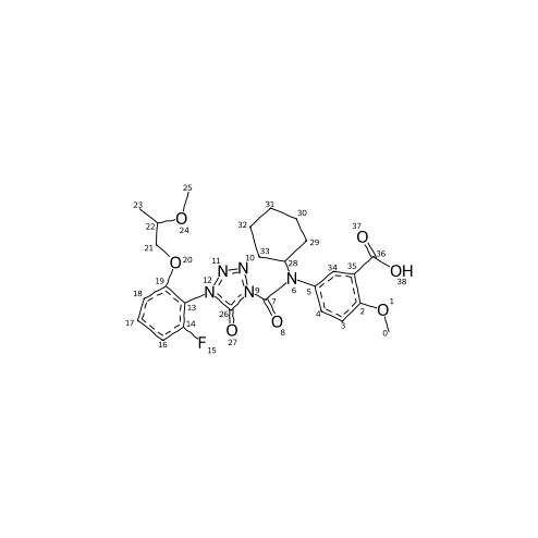 COc1ccc(N(C(=O)n2nnn(-c3c(F)cccc3OCC(C)OC)c2=O)C2CCCCC2)cc1C(=O)O